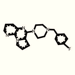 Fc1ccc(CN2CCN(c3nc4cccnc4n4cccc34)CC2)cc1